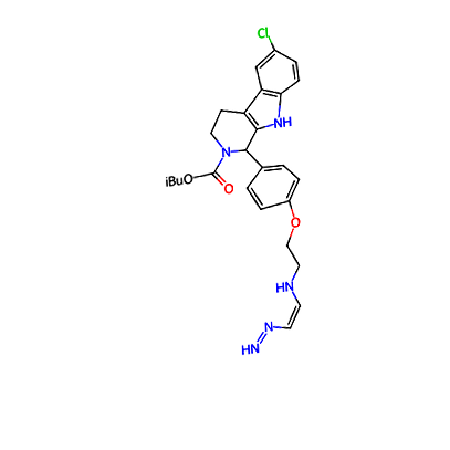 CC(C)COC(=O)N1CCc2c([nH]c3ccc(Cl)cc23)C1c1ccc(OCCN/C=C\N=N)cc1